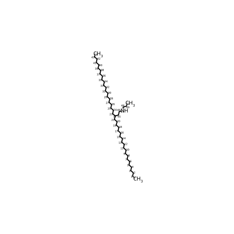 CCCCCCCCCCCCCCCCCCCCCCC(CCCCCCCCCCCCCCCCCCCCCC)CCNCCC